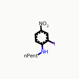 CCCCCNc1ccc([N+](=O)[O-])cc1I